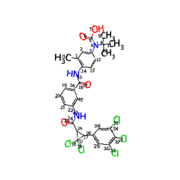 Cc1cc(N(C(=O)O)C(C)(C)C)ccc1NC(=O)c1cccc(NC(=O)C2C(c3cc(Cl)c(Cl)c(Cl)c3)C2(Cl)Cl)c1